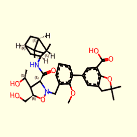 COc1c(CN2O[C@@H](CO)C([C@H](C)O)[C@H]2C(=O)N[C@H]2C[C@H]3C[C@@H]([C@@H]2C)C3(C)C)cccc1-c1cc2c(c(C(=O)O)c1)OC(C)(C)C2